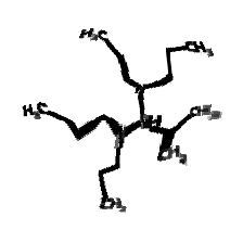 C=C(C)[SiH](N(CCC)CCC)N(CCC)CCC